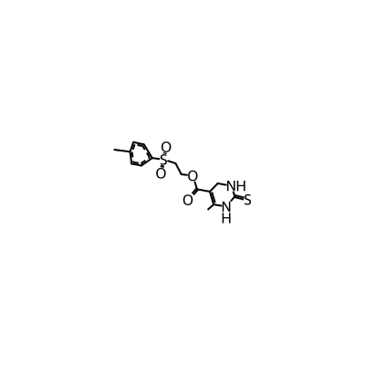 CC1=C(C(=O)OCCS(=O)(=O)c2ccc(C)cc2)CNC(=S)N1